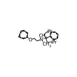 CC(C)CC(CC(C)C)(c1ccccc1)[N+](C)(C)CCOc1ccccc1